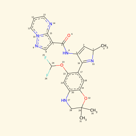 CC1C=C(NC(=O)c2cnn3cccnc23)C(c2cc3c(cc2OC(F)F)NCC(C)(C)O3)=N1